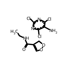 CCNC(=O)C1=COOC1.Nc1c(Cl)nc(Cl)nc1Cl